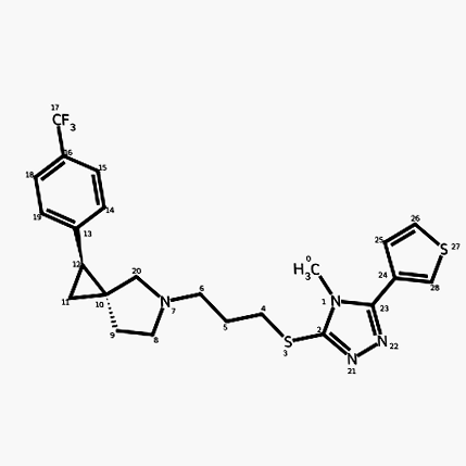 Cn1c(SCCCN2CC[C@@]3(C[C@H]3c3ccc(C(F)(F)F)cc3)C2)nnc1-c1ccsc1